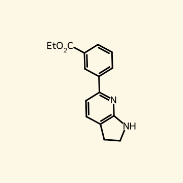 CCOC(=O)c1cccc(-c2ccc3c(n2)NCC3)c1